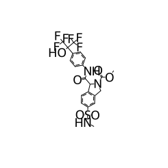 CNS(=O)(=O)c1ccc2c(c1)CN(C(=O)OC)C2C(=O)Nc1ccc(C(O)(C(F)(F)F)C(F)(F)F)cc1